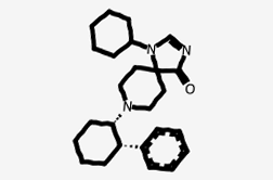 O=C1N=CN(C2CCCCC2)C12CCN([C@H]1CCCC[C@H]1c1ccccc1)CC2